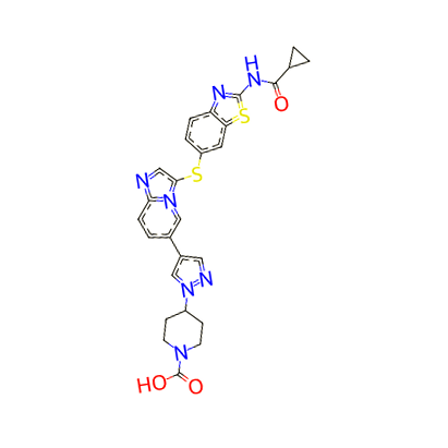 O=C(Nc1nc2ccc(Sc3cnc4ccc(-c5cnn(C6CCN(C(=O)O)CC6)c5)cn34)cc2s1)C1CC1